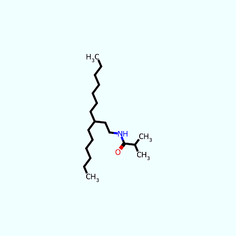 CCCCCCCC(CCCCCC)CCNC(=O)C(C)C